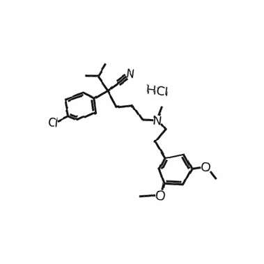 COc1cc(CCN(C)CCCC(C#N)(c2ccc(Cl)cc2)C(C)C)cc(OC)c1.Cl